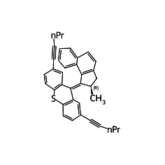 CCCC#Cc1ccc2c(c1)C(=C1c3c(ccc4ccccc34)C[C@H]1C)c1cc(C#CCCC)ccc1S2